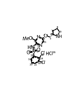 COc1nc(OC[C@@H]2CCCN2)cnc1NS(=O)(=O)c1cccc(Cl)c1Cl.Cl